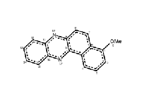 COc1cccc2c1ccc1nc3ccccc3nc12